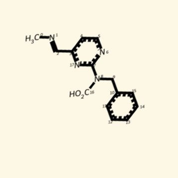 CN=Cc1ccnc(N(Cc2ccccc2)C(=O)O)n1